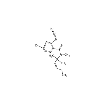 CC/C=C\C(C)(C)N(C)C(=O)c1ccc(Cl)cc1N=[N+]=[N-]